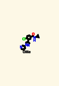 COc1cncc(-n2cc(-c3cc(C(=O)NC4CC4)ccc3Cl)cn2)c1